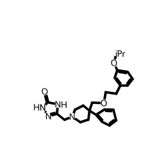 CC(C)Oc1cccc(CCOCC2(c3ccccc3)CCN(Cc3n[nH]c(=O)[nH]3)CC2)c1